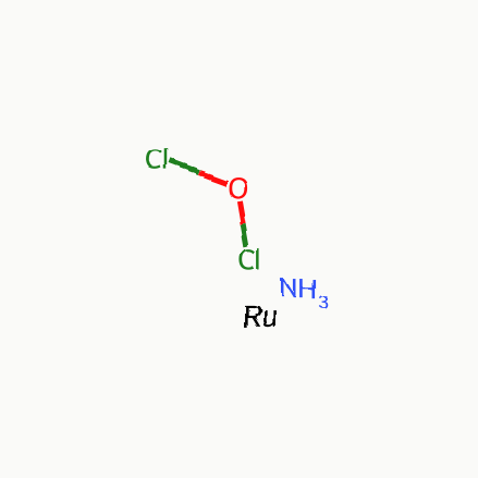 ClOCl.N.[Ru]